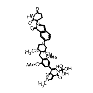 COc1cc(-c2cn(C(O)(O)O)c(=O)c3cn(C)nc23)cc(OC)c1CC1[C@H](C)CN(c2ccc3c(c2)C(=O)N(C2CCC(=O)NC2=O)C3)C[C@H]1C